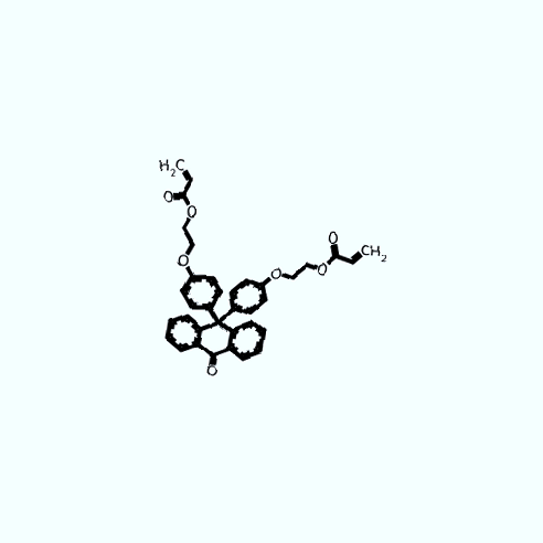 C=CC(=O)OCCOc1ccc(C2(c3ccc(OCCOC(=O)C=C)cc3)c3ccccc3C(=O)c3ccccc32)cc1